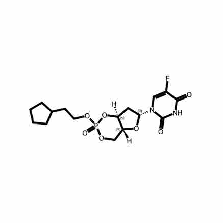 O=c1[nH]c(=O)n([C@H]2C[C@@H]3OP(=O)(OCCC4CCCC4)OC[C@H]3O2)cc1F